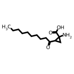 CCCCCCCCCC(=O)C1CC1(N)C(=O)O